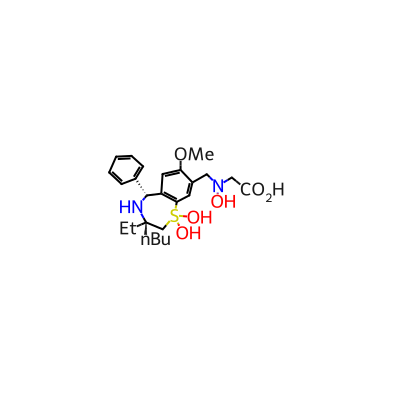 CCCC[C@]1(CC)CS(O)(O)c2cc(CN(O)CC(=O)O)c(OC)cc2[C@@H](c2ccccc2)N1